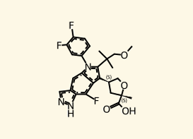 COCC(C)(C)c1c([C@H]2CO[C@](C)(C(=O)O)C2)c2c(F)c3[nH]ncc3cc2n1-c1ccc(F)c(F)c1